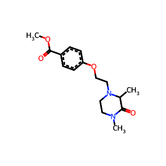 COC(=O)c1ccc(OCCN2CCN(C)C(=O)C2C)cc1